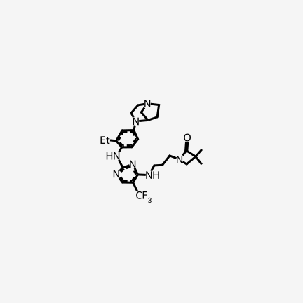 CCc1cc(N2CCN3CCC2C3)ccc1Nc1ncc(C(F)(F)F)c(NCCCN2CC(C)(C)C2=O)n1